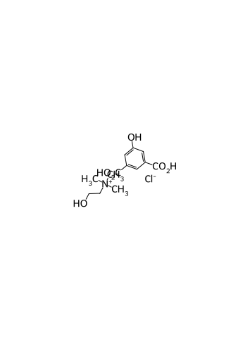 C[N+](C)(C)CCO.O=C(O)c1cc(O)cc(C(=O)O)c1.[Cl-]